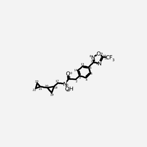 O=C(Cc1ccc(-c2noc(C(F)(F)F)n2)cc1)N(O)CC1CC1C1CC1